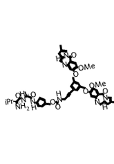 COc1cc2c(cc1OCc1cc(C#CCNC(=O)OCc3ccc(NC(=O)[C@H](C)NC(=O)[C@@H](N)C(C)C)cc3)cc(COc3cc4c(cc3OC)C(=O)N3C=C(C)C[C@H]3C=N4)c1)N=C[C@@H]1CC(C)=CN1C2=O